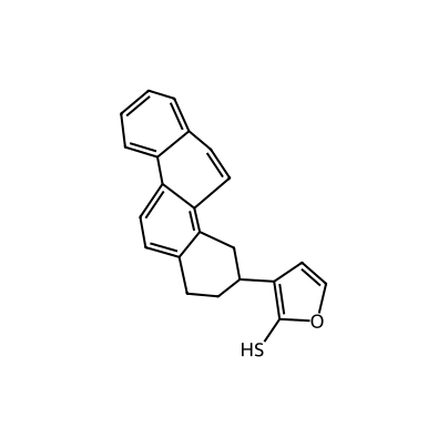 Sc1occc1C1CCc2ccc3c(ccc4ccccc43)c2C1